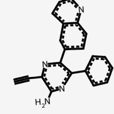 C#Cc1nc(-c2ccc3ncccc3c2)c(-c2ccccc2)nc1N